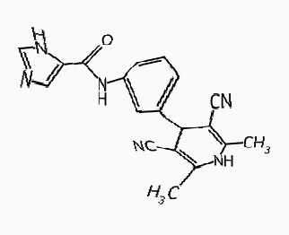 CC1=C(C#N)C(c2cccc(NC(=O)c3cnc[nH]3)c2)C(C#N)=C(C)N1